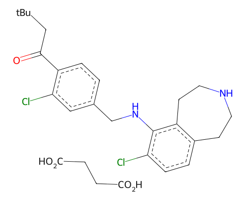 CC(C)(C)CC(=O)c1ccc(CNc2c(Cl)ccc3c2CCNCC3)cc1Cl.O=C(O)CCC(=O)O